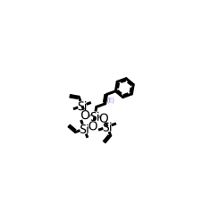 C=C[Si](C)(C)O[Si](C/C=C/c1ccccc1)(O[Si](C)(C)C=C)O[Si](C)(C)C=C